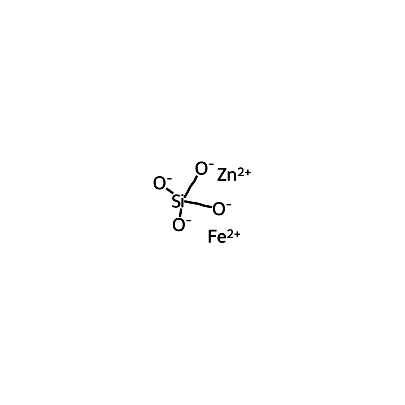 [Fe+2].[O-][Si]([O-])([O-])[O-].[Zn+2]